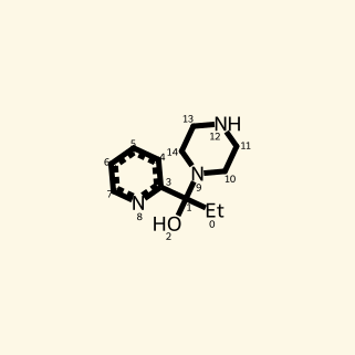 CCC(O)(c1ccccn1)N1CCNCC1